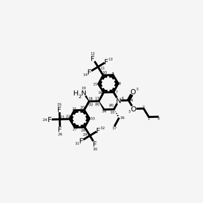 CCCOC(=O)N1c2ccc(C(F)(F)F)cc2[C@H]([C@H](N)c2cc(C(F)(F)F)cc(C(F)(F)F)c2)C[C@H]1CC